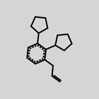 C=CCc1cccc(C2CCCC2)c1C1CCCC1